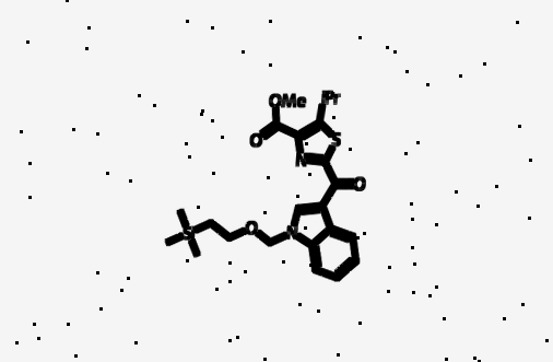 COC(=O)c1nc(C(=O)c2cn(COCC[Si](C)(C)C)c3ccccc23)sc1C(C)C